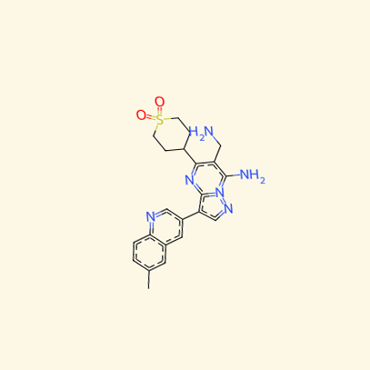 Cc1ccc2ncc(-c3cnn4c(N)c(CN)c(C5CCS(=O)(=O)CC5)nc34)cc2c1